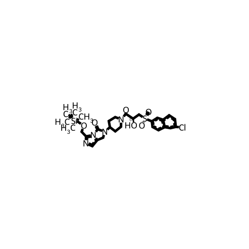 CC(C)(C)[Si](C)(C)OCc1ncc2n1C(=O)N(C1CCN(C(=O)[C@H](O)CS(=O)(=O)c3ccc4cc(Cl)ccc4c3)CC1)C2